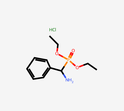 CCOP(=O)(OCC)C(N)c1ccccc1.Cl